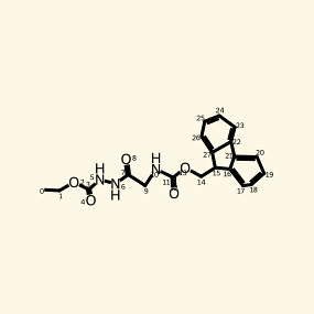 CCOC(=O)NNC(=O)CNC(=O)OCC1c2ccccc2-c2ccccc21